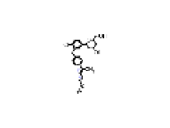 CO/N=C/C=C(\C)c1ccc(Cc2cc(C3CC(O)CC(CO)O3)ccc2Cl)cc1